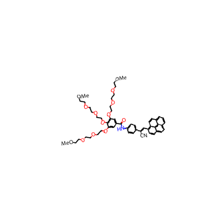 COCCOCCOCCOc1cc(C(=O)Nc2ccc(/C(C#N)=C/c3ccc4ccc5cccc6ccc3c4c56)cc2)cc(OCCOCCOCCOC)c1OCCOCCOCCOC